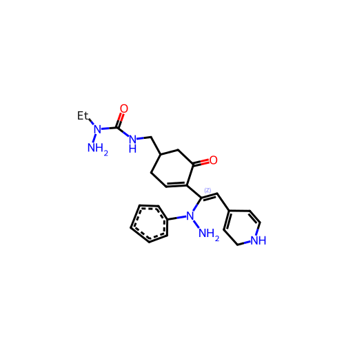 CCN(N)C(=O)NCC1CC=C(/C(=C/C2=CCNC=C2)N(N)c2ccccc2)C(=O)C1